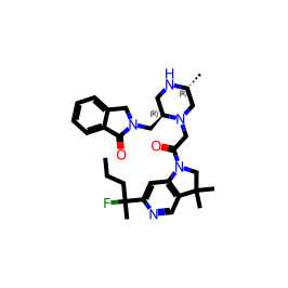 CCCC(C)(F)c1cc2c(cn1)C(C)(C)CN2C(=O)CN1C[C@@H](C)NC[C@@H]1CN1Cc2ccccc2C1=O